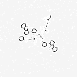 C=CC(=O)OCCNC(=O)OCC(COC(=O)NCCOc1ccccc1)(CSc1cccc(-c2cccc3c2sc2ccccc23)c1)CSc1cccc(-c2cccc3c2sc2ccccc23)c1